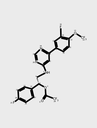 O=C(O[C@@H](CNc1cc(-c2ccc(OC(F)(F)F)c(F)c2)ncn1)c1ccc(F)cc1)C(F)(F)F